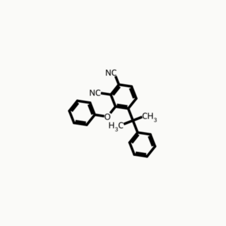 CC(C)(c1ccccc1)c1ccc(C#N)c(C#N)c1Oc1ccccc1